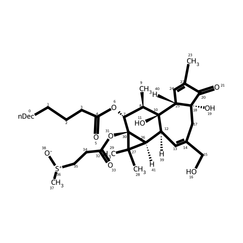 CCCCCCCCCCCCCC(=O)O[C@@H]1[C@@H](C)[C@@]2(O)[C@@H](C=C(CO)C[C@]3(O)C(=O)C(C)=C[C@@H]23)[C@H]2C(C)(C)[C@]12OC(=O)CC[S+](C)[O-]